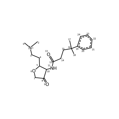 CN(C)CCC1OCC(=O)C1NC(=O)[CH]CC(C)(C)c1ccccc1